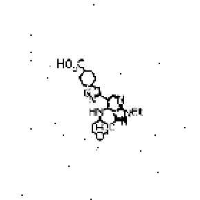 CCn1nc(C)c2c(NC3CCOCC3)c(C3=NOC4(CCC(C(=O)O)CC4)C3)cnc21